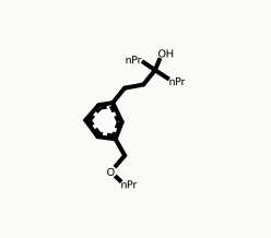 CCCOCc1cccc(CCC(O)(CCC)CCC)c1